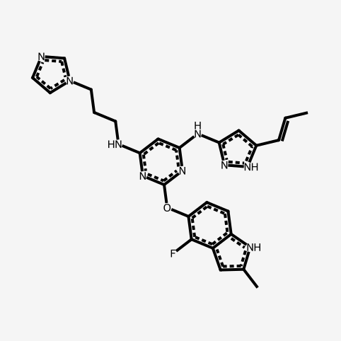 C/C=C/c1cc(Nc2cc(NCCCn3ccnc3)nc(Oc3ccc4[nH]c(C)cc4c3F)n2)n[nH]1